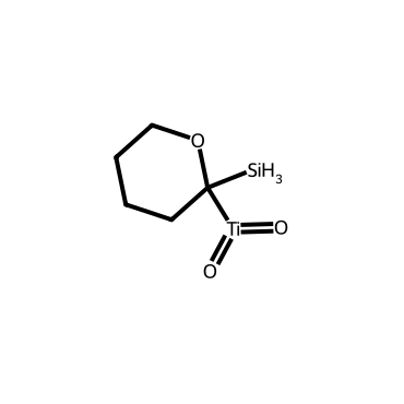 [O]=[Ti](=[O])[C]1([SiH3])CCCCO1